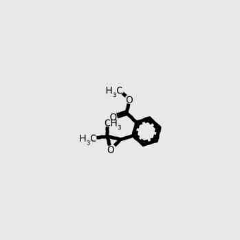 COC(=O)c1ccccc1C1OC1(C)C